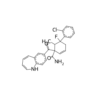 CC1C(C(N)=O)(C(=O)c2ccc3c(c2)C=CC=CN3)C=CCC1(F)c1ccccc1Cl